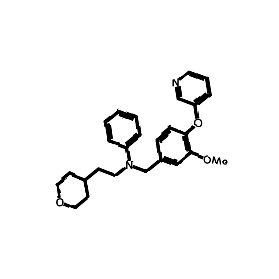 COc1cc(CN(CCC2CCOCC2)c2ccccc2)ccc1Oc1cccnc1